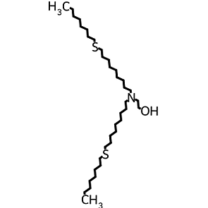 CCCCCCCCSCCCCCCCCCN(CCO)CCCCCCCCCSCCCCCCCC